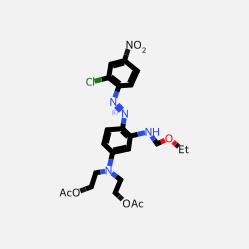 CCOCNc1cc(N(CCOC(C)=O)CCOC(C)=O)ccc1/N=N/c1ccc([N+](=O)[O-])cc1Cl